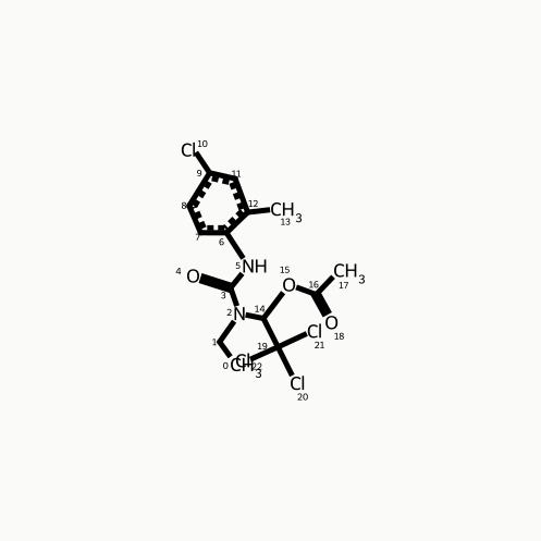 CCN(C(=O)Nc1ccc(Cl)cc1C)C(OC(C)=O)C(Cl)(Cl)Cl